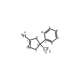 [3H]C1=NCC(c2ccccc2)(C(F)(F)F)C1